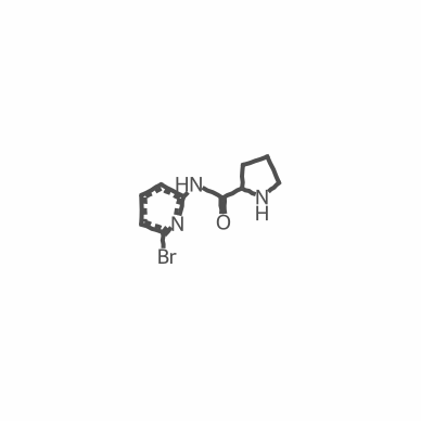 O=C(Nc1cccc(Br)n1)C1CCCN1